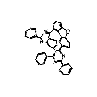 c1ccc(-c2nc(-c3ccccc3)nc(-c3ccc4oc5cccc(-c6nc(-c7ccccc7)nc7ccccc67)c5c4c3)n2)cc1